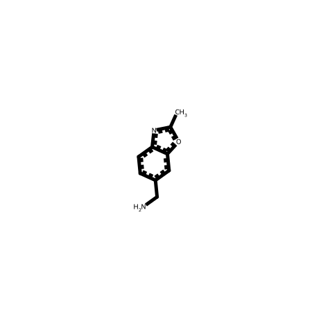 Cc1nc2ccc(CN)cc2o1